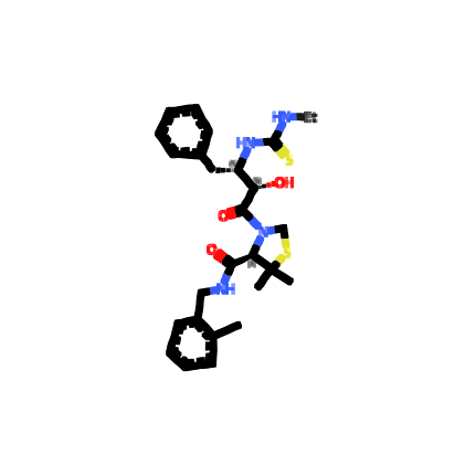 CCNC(=S)N[C@@H](Cc1ccccc1)[C@H](O)C(=O)N1CSC(C)(C)[C@H]1C(=O)NCc1ccccc1C